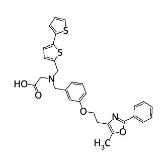 Cc1oc(-c2ccccc2)nc1CCOc1cccc(CN(CC(=O)O)Cc2ccc(-c3cccs3)s2)c1